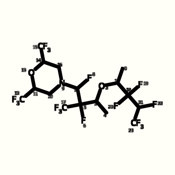 CC(OC(C)C(F)(C(F)N1CC(C(F)(F)F)OC(C(F)(F)F)C1)C(F)(F)F)C(F)(F)C(F)C(F)(F)F